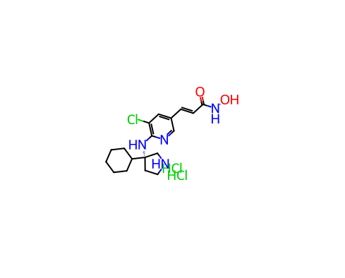 Cl.Cl.O=C(/C=C/c1cnc(N[C@@]2(C3CCCCC3)CCNC2)c(Cl)c1)NO